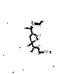 CCSC(C)C(CC(C)(C)C(C)CCO)NC